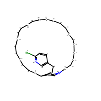 Brc1ccc(CC2CC3CCCCCCCCCCCCCCCCCCCCCCCN2CC3)cn1